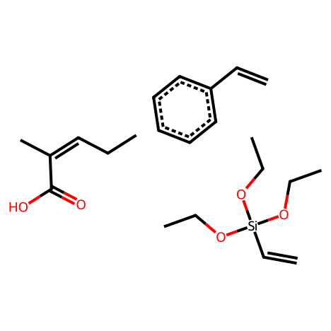 C=C[Si](OCC)(OCC)OCC.C=Cc1ccccc1.CCC=C(C)C(=O)O